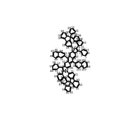 c1ccc(-c2c(-c3ccccc3)n(-c3ccc4c(c3)C(c3ccccc3)(c3ccccc3)c3ccccc3-4)c3cc4c(-c5ccc6ccccc6c5)c5cc6c(-c7ccccc7)c(-c7ccccc7)n(-c7ccc8c(c7)C(c7ccccc7)(c7ccccc7)c7ccccc7-8)c6cc5c(-c5ccc6ccccc6c5)c4cc23)cc1